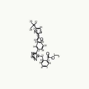 CCOC(=O)c1ccccc1Cn1nnnc1-c1ccc2oc(-c3nc(C(C)(C)C)cs3)cc2c1